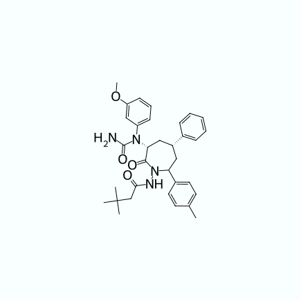 COc1cccc(N(C(N)=O)[C@@H]2C[C@H](c3ccccc3)CC(c3ccc(C)cc3)N(NC(=O)CC(C)(C)C)C2=O)c1